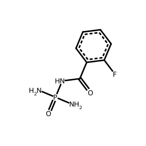 NP(N)(=O)NC(=O)c1ccccc1F